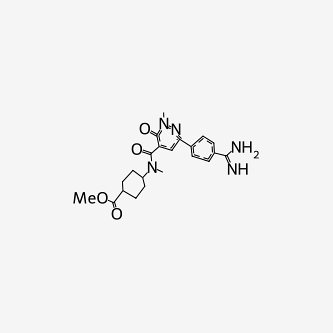 COC(=O)C1CCC(N(C)C(=O)c2cc(-c3ccc(C(=N)N)cc3)nn(C)c2=O)CC1